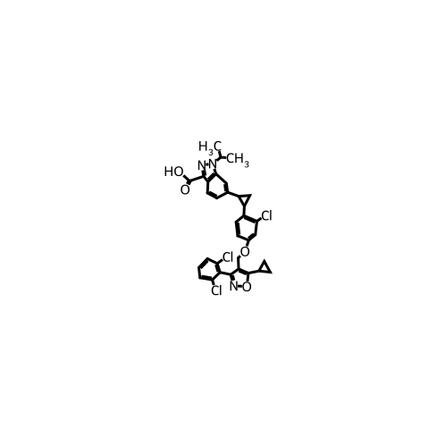 CC(C)n1nc(C(=O)O)c2ccc(C3CC3c3ccc(OCc4c(-c5c(Cl)cccc5Cl)noc4C4CC4)cc3Cl)cc21